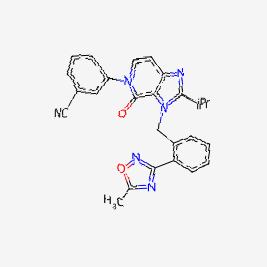 Cc1nc(-c2ccccc2Cn2c(C(C)C)nc3ccn(-c4cccc(C#N)c4)c(=O)c32)no1